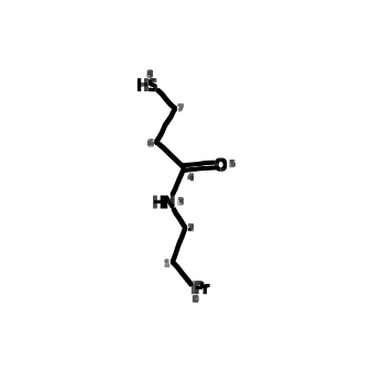 CC(C)CCNC(=O)CCS